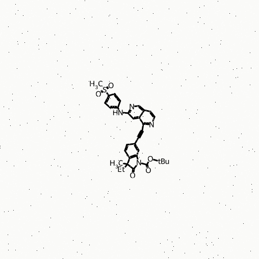 CCC1(C)C(=O)N(C(=O)OC(C)(C)C)c2cc(C#Cc3nccc4cnc(Nc5ccc(S(C)(=O)=O)cc5)cc34)ccc21